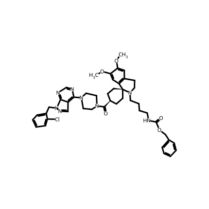 COc1cc2c(cc1OC)[C@]1(CC[C@H](C(=O)N3CCN(c4ncnc5c4cnn5Cc4ccccc4Cl)CC3)CC1)N(CCCCNC(=O)OCc1ccccc1)CC2